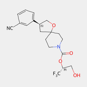 N#Cc1cccc([C@H]2COC3(CCN(C(=O)O[C@H](CO)C(F)(F)F)CC3)C2)c1